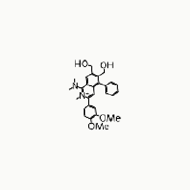 COc1ccc(-c2cc3c(-c4ccccc4)c(CO)c(CO)cc3c(N(C)C)[n+]2C)cc1OC